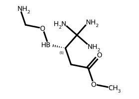 COC(=O)C[C@H](BOCN)C(N)(N)N